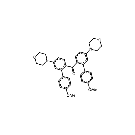 COc1ccc(-c2cc(N3CCOCC3)ccc2C(=O)c2ccc(N3CCOCC3)cc2-c2ccc(OC)cc2)cc1